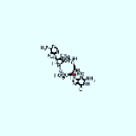 CO[C@H]1[C@H]2OP(=O)(O)OCC34C[C@@H]3[C@@H](n3cnc5c(N)ncnc53)[C@H](C)[C@@H]4OP(=O)(S)OC[C@H]1O[C@H]2n1cnc2c(=O)[nH]c(N)nc21